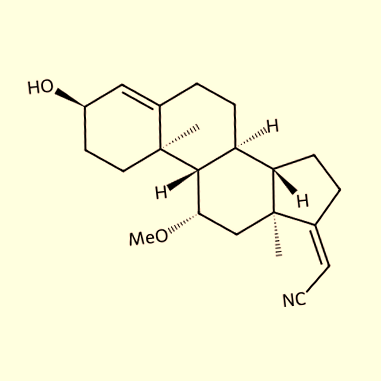 CO[C@H]1C[C@]2(C)/C(=C\C#N)CC[C@H]2[C@@H]2CCC3=C[C@H](O)CC[C@]3(C)[C@H]21